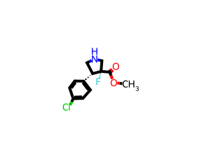 COC(=O)[C@]1(F)CNC[C@H]1c1ccc(Cl)cc1